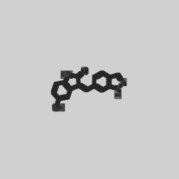 O=C1Nc2ccc(O)cc2C1=Cc1ccc2cn[nH]c2c1